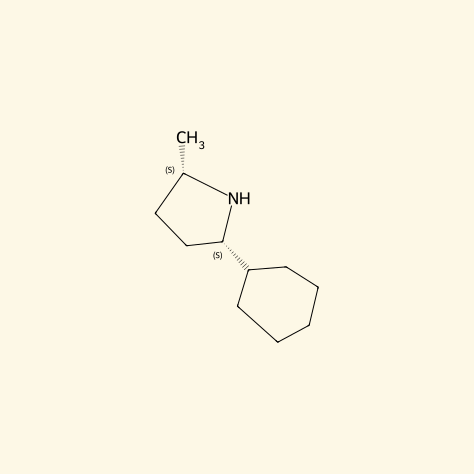 C[C@H]1CC[C@@H](C2CCCCC2)N1